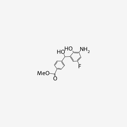 COC(=O)c1ccc(C(O)c2cc(F)cc(N)c2O)cc1